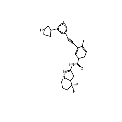 CC1=CCC(C(=O)NC2=NN3CCCC(F)(F)C3C2)C=C1C#Cc1cncc(C2CCNC2)c1